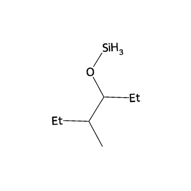 CCC(C)C(CC)O[SiH3]